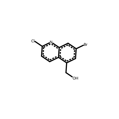 OCc1cc(Br)cc2nc(Cl)ccc12